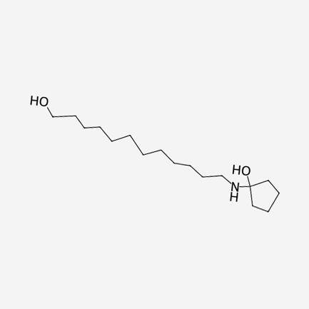 OCCCCCCCCCCCCNC1(O)CCCC1